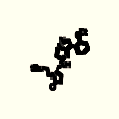 CCOc1ccccc1-c1cnn2ccc(NC[C@@H]3CCC(=O)N3CCC(C)(C)C)nc12